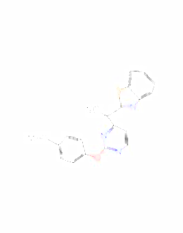 COc1ccc(Oc2nccc(C(C#N)c3nc4ccccc4s3)n2)cc1